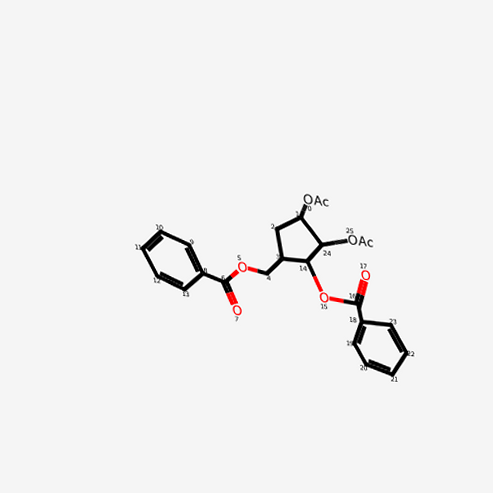 CC(=O)OC1CC(COC(=O)c2ccccc2)C(OC(=O)c2ccccc2)C1OC(C)=O